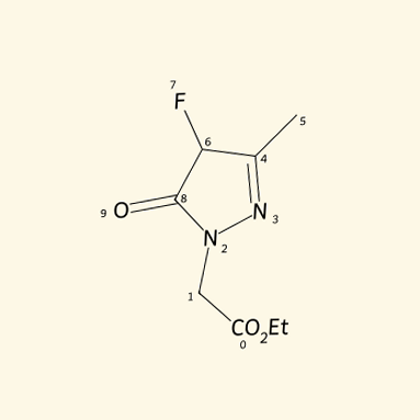 CCOC(=O)CN1N=C(C)C(F)C1=O